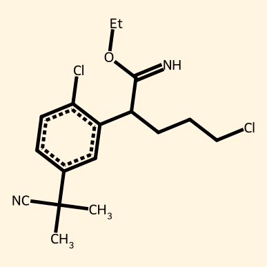 CCOC(=N)C(CCCCl)c1cc(C(C)(C)C#N)ccc1Cl